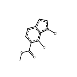 COC(=O)c1ccc2ccn(Cl)c2c1Cl